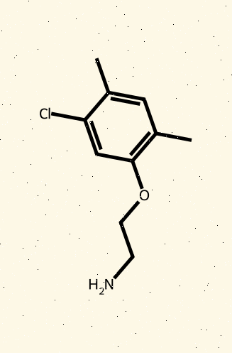 Cc1cc(C)c(OCCN)cc1Cl